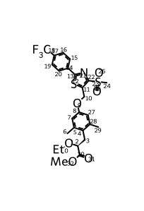 CCO[C@@H](Cc1c(C)cc(OCc2sc(-c3ccc(C(F)(F)F)cc3)nc2S(C)(=O)=O)cc1C)C(=O)OC